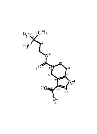 CC(C)(C)CCOC(=O)N1CCc2[nH]nc(C(=O)O)c2C1